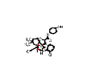 CC1(C)CCC2(CC1)NC(C(=O)N[C@H]1CC[C@H](O)CC1)[C@H](c1cccc(Cl)c1F)[C@]21C(=O)Nc2cc(Cl)ccc21